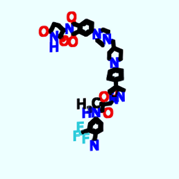 CC(O)(Cn1cc(-c2ccc(N3CCC(CN4CCN(c5ccc6c(c5)C(=O)N(C5CCC(=O)NC5=O)C6=O)CC4)CC3)cc2)cn1)C(=O)Nc1ccc(C#N)c(C(F)(F)F)c1